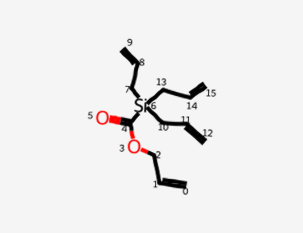 C=CCOC(=O)[Si](CC=C)(CC=C)CC=C